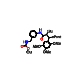 CCCCCC(c1cc(OC)c(OC)cc1OC)C(C(=O)Nc1cccc(CNC(=O)OC(C)(C)C)c1)C(C)(C)C